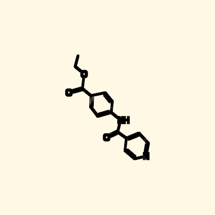 CCOC(=O)c1ccc(NC(=O)c2ccncc2)cc1